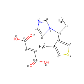 CCC(c1cscc1C)n1ccnc1.O=C(O)C=CC(=O)O